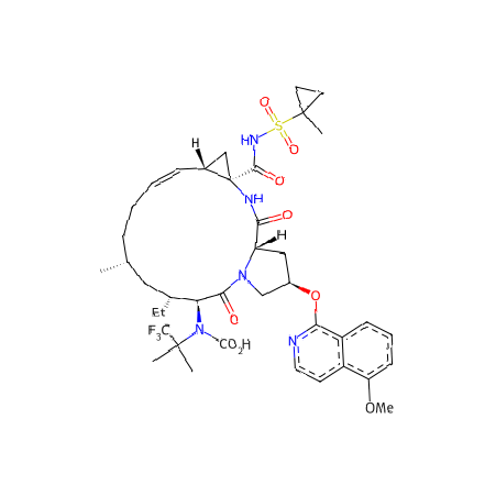 CC[C@@H]1C[C@H](C)CC/C=C\[C@@H]2C[C@@]2(C(=O)NS(=O)(=O)C2(C)CC2)NC(=O)[C@@H]2C[C@@H](Oc3nccc4c(OC)cccc34)CN2C(=O)[C@H]1N(C(=O)O)C(C)(C)C(F)(F)F